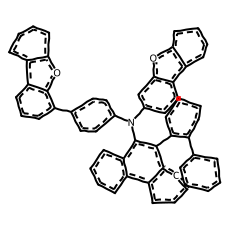 c1ccc(-c2ccccc2-c2c(N(c3ccc(-c4cccc5c4oc4ccccc45)cc3)c3ccc4c(c3)oc3ccccc34)c3ccccc3c3ccccc23)cc1